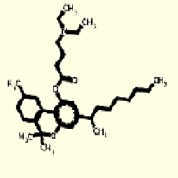 CCCCCCCC(C)c1cc(OC(=O)CCCN(CC)CC)c2c(c1)OC(C)(C)C1=C2CC(C)CC1